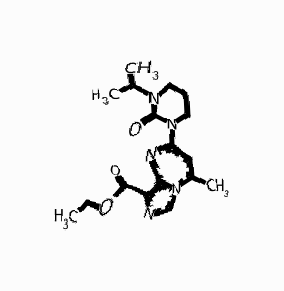 CCOC(=O)c1ncn2c(C)cc(N3CCCN(C(C)C)C3=O)nc12